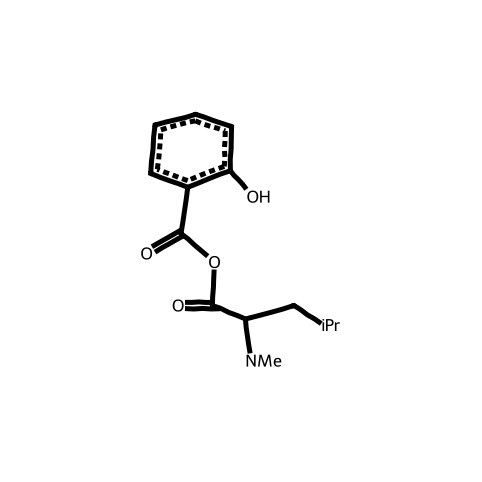 CNC(CC(C)C)C(=O)OC(=O)c1ccccc1O